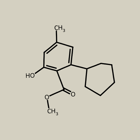 COC(=O)c1c(O)cc(C)cc1C1CCCCC1